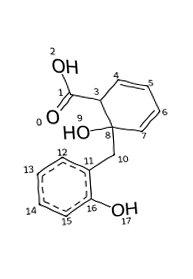 O=C(O)C1C=CC=CC1(O)Cc1ccccc1O